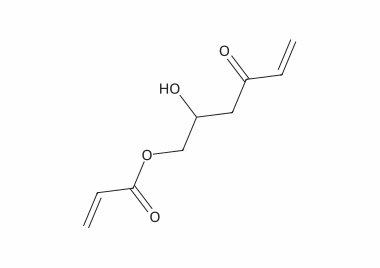 C=CC(=O)CC(O)COC(=O)C=C